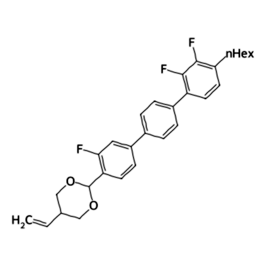 C=CC1COC(c2ccc(-c3ccc(-c4ccc(CCCCCC)c(F)c4F)cc3)cc2F)OC1